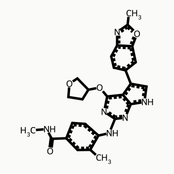 CNC(=O)c1ccc(Nc2nc(OC3CCOC3)c3c(-c4ccc5nc(C)oc5c4)c[nH]c3n2)c(C)c1